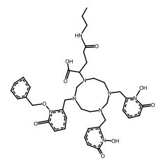 CCCNC(=O)CCC(C(=O)O)N1CCN(Cc2cccc(=O)n2O)CN(Cc2cccc(=O)n2O)CCN(Cc2cccc(=O)n2OCc2ccccc2)C1